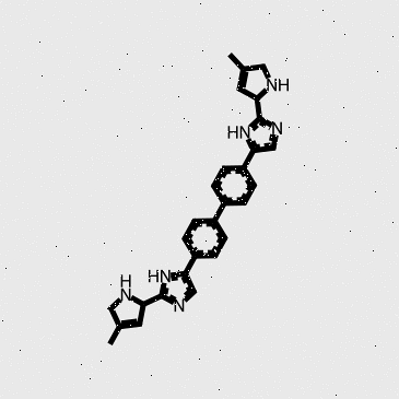 CC1=CC(c2ncc(-c3ccc(-c4ccc(-c5cnc(C6C=C(C)CN6)[nH]5)cc4)cc3)[nH]2)NC1